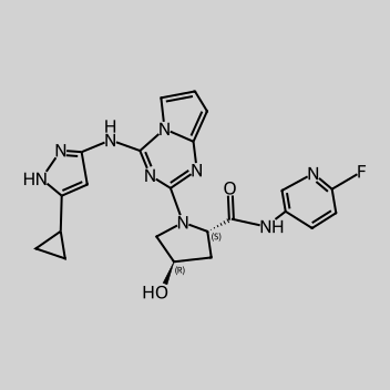 O=C(Nc1ccc(F)nc1)[C@@H]1C[C@@H](O)CN1c1nc(Nc2cc(C3CC3)[nH]n2)n2cccc2n1